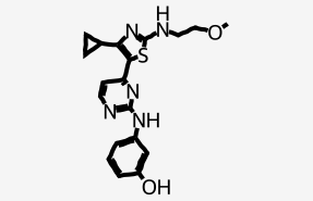 COCCNc1nc(C2CC2)c(-c2ccnc(Nc3cccc(O)c3)n2)s1